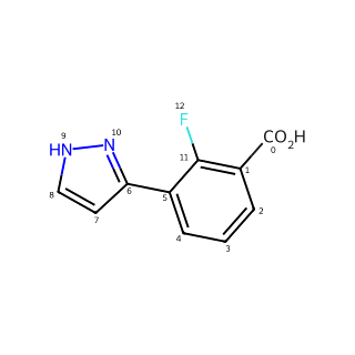 O=C(O)c1cccc(-c2cc[nH]n2)c1F